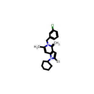 C=C1c2cc(CC)n(C3CCCCC3)c2C=C(C)N1Cc1cccc(Cl)c1